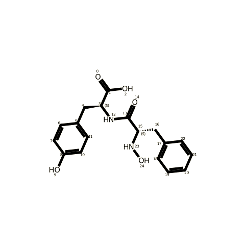 O=C(O)[C@H](Cc1ccc(O)cc1)NC(=O)[C@H](Cc1ccccc1)NO